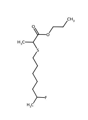 CCCOC(=O)C(C)SCCCCCC(C)F